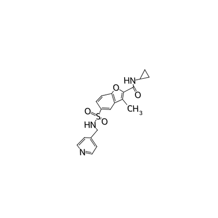 Cc1c(C(=O)NC2CC2)oc2ccc(S(=O)(=O)NCc3ccncc3)cc12